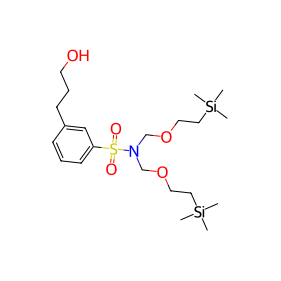 C[Si](C)(C)CCOCN(COCC[Si](C)(C)C)S(=O)(=O)c1cccc(CCCO)c1